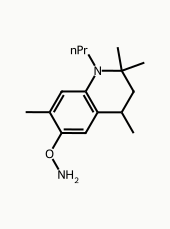 CCCN1c2cc(C)c(ON)cc2C(C)CC1(C)C